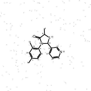 Cc1ccc(N2C(=O)C(C)SC2c2cccnc2)c(C)c1